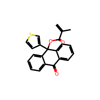 C=C(C)C(=O)OC1(c2ccsc2)c2ccccc2C(=O)c2ccccc21